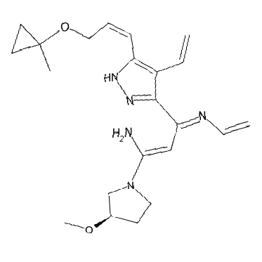 C=C/N=C(\C=C(/N)N1CC[C@@H](OC)C1)c1n[nH]c(/C=C\COC2(C)CC2)c1C=C